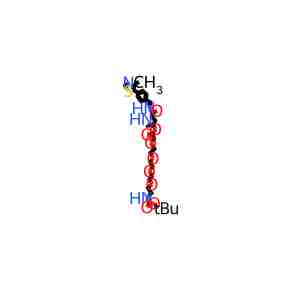 Cc1ncsc1-c1ccc(CNC(=O)C2CC(OC(=O)COCCOCCOCCOCCNC(=O)OC(C)(C)C)CN2)cc1